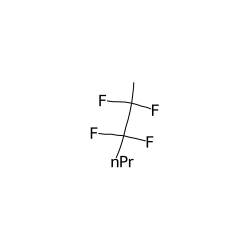 [CH2]CCC(F)(F)C(C)(F)F